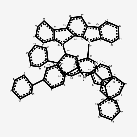 c1ccc(-c2ccc(-c3nc(-c4ccccc4)nc(-n4c5ccccc5c5ccc6c7ccccc7n(-c7cc(-c8cccc(-c9ccccc9)c8)ccc7-c7ccccc7)c6c54)n3)cc2)cc1